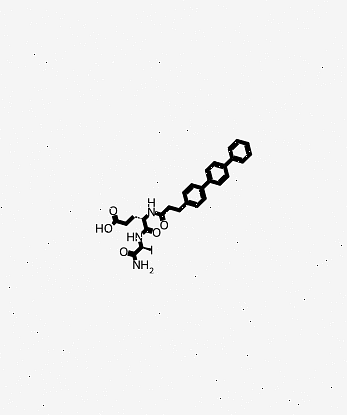 NC(=O)[C@H](I)NC(=O)[C@H](CCC(=O)O)NC(=O)CCc1ccc(-c2ccc(-c3ccccc3)cc2)cc1